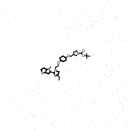 CCc1cn(CCOc2ccc(OCC3CCN(C(=O)OC(C)(C)C)C3)cc2)c(-c2cc3sccc3n2C)n1